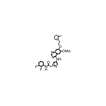 [CH2][C@@H]1CCCN1CCOc1cc2ncnc(Nc3cnn(CC(=O)Nc4cccc(F)c4F)c3)c2cc1OC